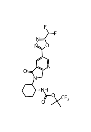 CC(C)(OC(=O)N[C@@H]1CCCC[C@H]1N1Cc2ncc(-c3nnc(C(F)F)o3)cc2C1=O)C(F)(F)F